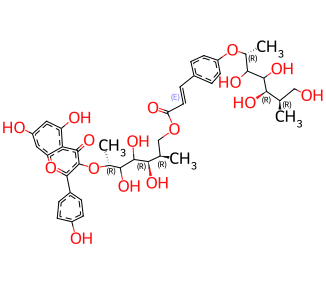 C[C@H](CO)[C@@H](O)C(O)C(O)[C@@H](C)Oc1ccc(/C=C/C(=O)OC[C@@H](C)[C@@H](O)C(O)C(O)[C@@H](C)Oc2c(-c3ccc(O)cc3)oc3cc(O)cc(O)c3c2=O)cc1